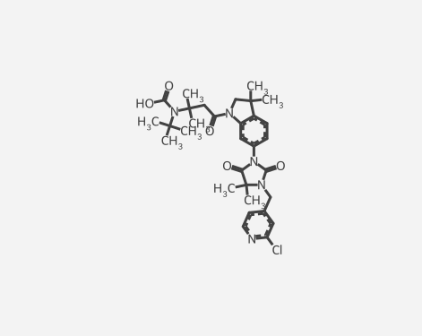 CC1(C)CN(C(=O)CC(C)(C)N(C(=O)O)C(C)(C)C)c2cc(N3C(=O)N(Cc4ccnc(Cl)c4)C(C)(C)C3=O)ccc21